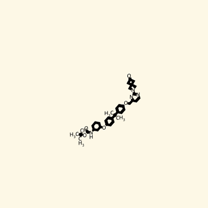 CC(C)(C)OC(=O)NC1CCCC(Oc2ccc(C(C)(C)c3ccc(OCc4ccnc(N5CC6(CC(=O)C6)C5)n4)cc3)cc2)C1